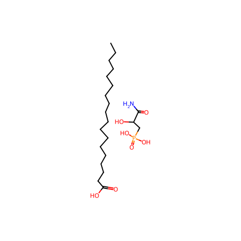 CCCCCCCCCCCCCCCCCC(=O)O.NC(=O)C(O)CP(=O)(O)O